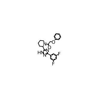 O=C(COc1ccccc1)N1CCCCC1c1nc(-c2cc(F)cc(F)c2)n[nH]1